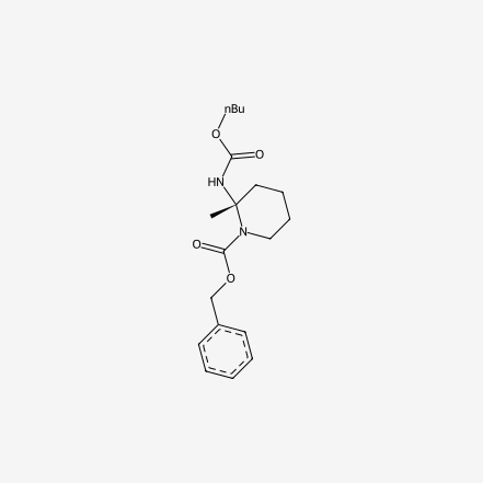 CCCCOC(=O)N[C@]1(C)CCCCN1C(=O)OCc1ccccc1